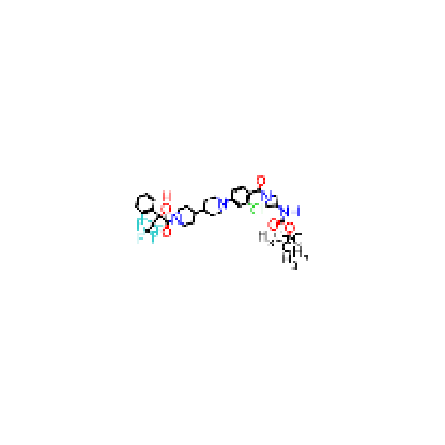 CC(C)(C)OC(=O)NC1CN(C(=O)c2ccc(N3CCC(C4CCN(C(=O)[C@](O)(c5ccccc5)C(F)(F)C(F)(F)F)CC4)CC3)cc2Cl)C1